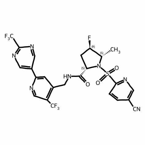 C[C@H]1[C@H](F)C[C@@H](C(=O)NCc2cc(-c3cnc(C(F)(F)F)nc3)ncc2C(F)(F)F)N1S(=O)(=O)c1ccc(C#N)cn1